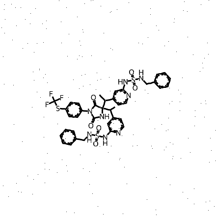 CC(c1ccnc(NS(=O)(=O)NCc2ccccc2)c1)C1(C(C)c2ccnc(NS(=O)(=O)NCc3ccccc3)c2)NC(=O)N(c2ccc(SC(F)(F)F)cc2)C1=O